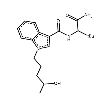 CC(O)CCCn1cc(C(=O)NC(C(N)=O)C(C)(C)C)c2ccccc21